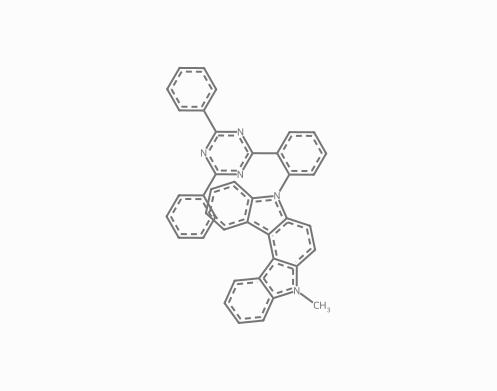 Cn1c2ccccc2c2c3c4ccccc4n(-c4ccccc4-c4nc(-c5ccccc5)nc(-c5ccccc5)n4)c3ccc21